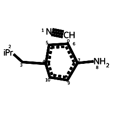 C#N.CC(C)Cc1ccc(N)cc1